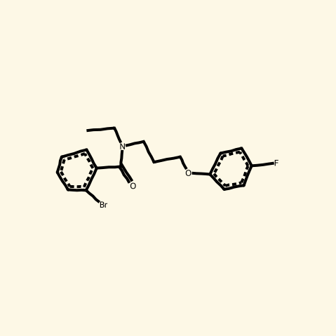 CCN(CCCOc1ccc(F)cc1)C(=O)c1ccccc1Br